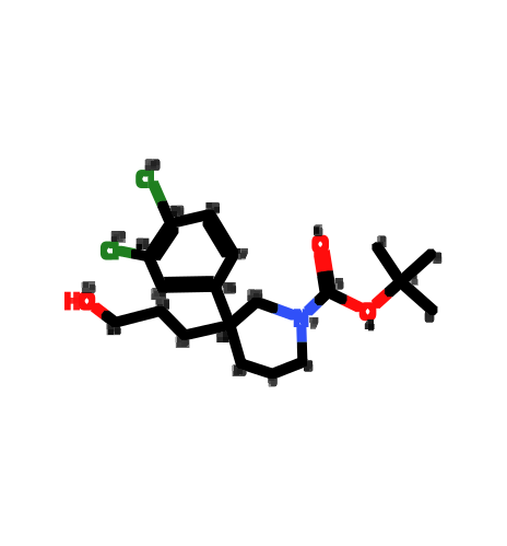 CC(C)(C)OC(=O)N1CCCC(CCCO)(c2ccc(Cl)c(Cl)c2)C1